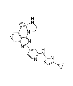 C1=CC(c2cncc3nc(-c4ccnc(Nc5nc(C6CC6)cs5)c4)nc(N4CCNCC4)c23)=C1